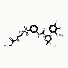 COc1c([C@@H]2C[C@](C)(C(F)(F)F)S[C@H]2C(=O)Nc2cccc(S(=O)(=O)NCCNC(=O)OC(C)(C)C)c2)ccc(F)c1F